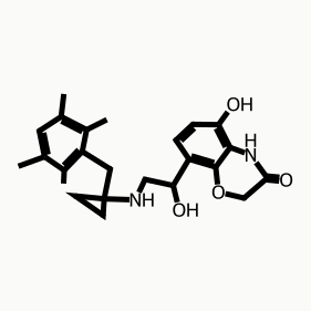 Cc1cc(C)c(C)c(CC2(NCC(O)c3ccc(O)c4c3OCC(=O)N4)CC2)c1C